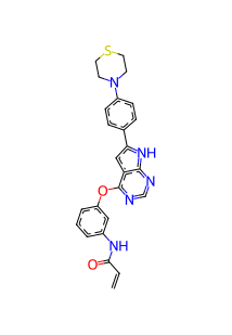 C=CC(=O)Nc1cccc(Oc2ncnc3[nH]c(-c4ccc(N5CCSCC5)cc4)cc23)c1